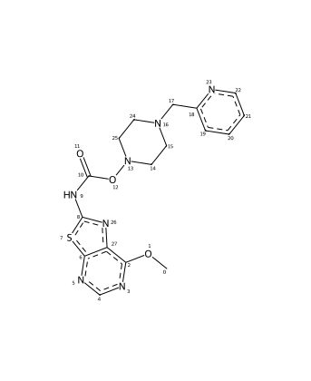 COc1ncnc2sc(NC(=O)ON3CCN(Cc4ccccn4)CC3)nc12